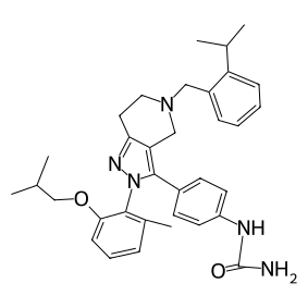 Cc1cccc(OCC(C)C)c1-n1nc2c(c1-c1ccc(NC(N)=O)cc1)CN(Cc1ccccc1C(C)C)CC2